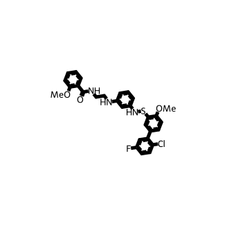 COc1ccc(-c2cc(F)ccc2Cl)cc1SNc1cccc(NCCNC(=O)c2ccccc2OC)c1